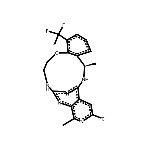 Cc1nc(Cl)cc2c3nc(nc12)NCCOc1c(cccc1C(F)(F)F)[C@@H](C)N3